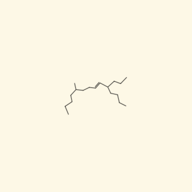 CCCCC(C)CCC=CC(CCC)CCCC